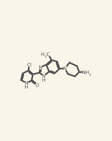 Cc1cc(N2CCC(N)CC2)cc2[nH]c(-c3c(Cl)cc[nH]c3=O)nc12